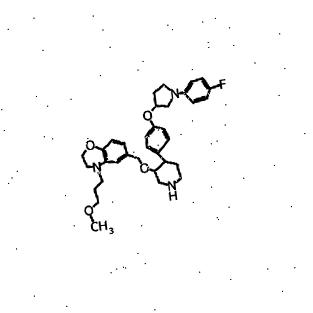 COCCCN1CCOc2ccc(COC3CNCCC3c3ccc(O[C@H]4CCN(c5ccc(F)cc5)C4)cc3)cc21